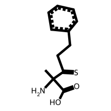 CC(N)(C(=O)O)C(=S)CCc1ccccc1